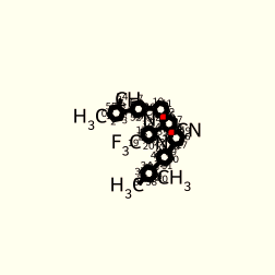 Cc1ccc(-c2ccc3c4ccccc4n(-c4cc(C(F)(F)F)cc(-n5c6ccccc6c6ccc(-c7ccc(C)cc7C)cc65)c4-c4cccc(C#N)c4)c3c2)c(C)c1